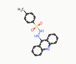 Cc1ccc(S(=O)(=O)NNc2c3ccccc3nc3ccccc23)cc1